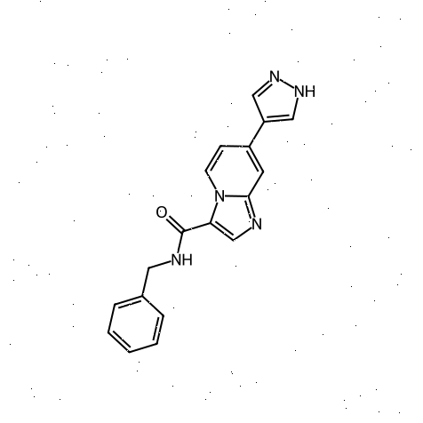 O=C(NCc1ccccc1)c1cnc2cc(-c3cn[nH]c3)ccn12